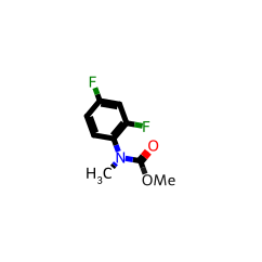 COC(=O)N(C)c1ccc(F)cc1F